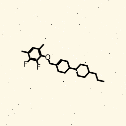 CCCC1CCC(C2CC=C(COc3c(C)cc(C)c(F)c3F)CC2)CC1